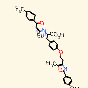 CC/C(=C/C(=O)c1ccc(C(F)(F)F)cc1)NC(Cc1ccc(OCCc2nc(-c3ccc(OC)cc3)oc2C)cc1)C(=O)O